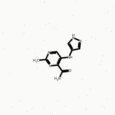 Cc1ncc(Nc2cn[nH]c2)c(C(N)=O)n1